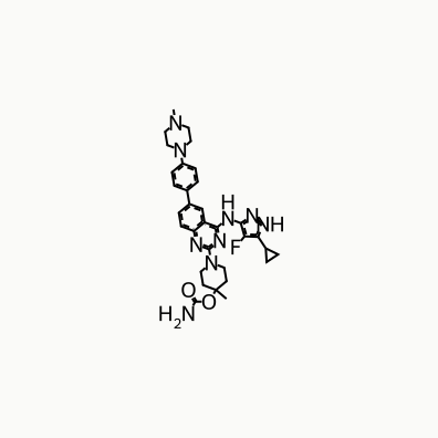 CN1CCN(c2ccc(-c3ccc4nc(N5CCC(C)(OC(N)=O)CC5)nc(Nc5n[nH]c(C6CC6)c5F)c4c3)cc2)CC1